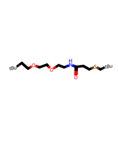 CC(C)(C)CCOCCOCCNC(=O)CCSCC(C)(C)C